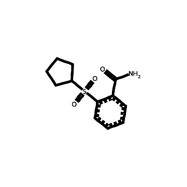 NC(=O)c1ccccc1S(=O)(=O)C1CCCC1